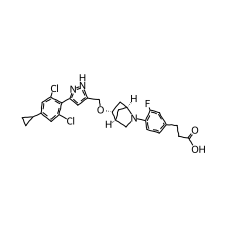 O=C(O)CCc1ccc(N2C[C@@H]3C[C@H]2C[C@H]3OCc2cc(-c3c(Cl)cc(C4CC4)cc3Cl)n[nH]2)c(F)c1